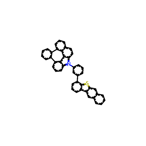 c1cc(-c2cccc3c2sc2cc4ccccc4cc23)cc(-n2c3cccc4c3c3c5c(cccc5ccc32)-c2ccccc2-4)c1